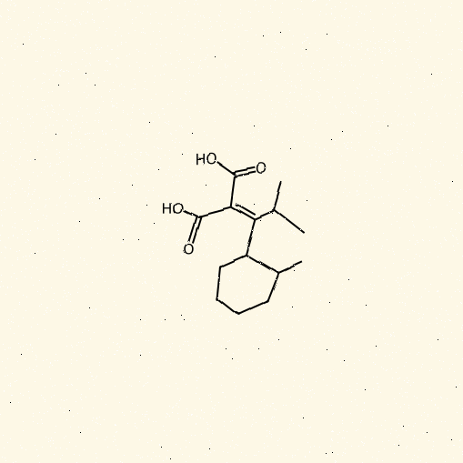 CC(C)C(=C(C(=O)O)C(=O)O)C1CCCCC1C